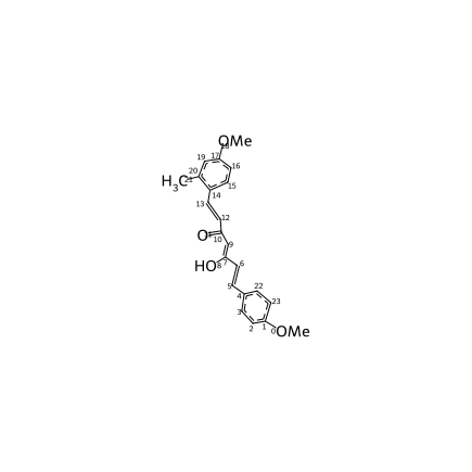 COc1ccc(/C=C/C(O)=C/C(=O)/C=C/c2ccc(OC)cc2C)cc1